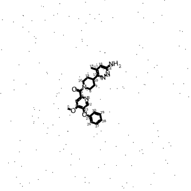 COc1cc(C(=O)N2CCC(c3nnc(N)cc3C)CC2)ncc1Oc1ccccc1